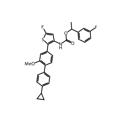 COc1cc(-c2sc(F)cc2NC(=O)OC(C)c2cccc(F)c2)ccc1-c1ccc(C2CC2)cc1